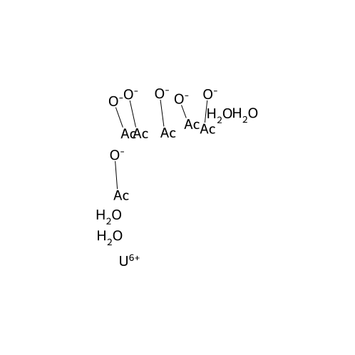 CC(=O)[O-].CC(=O)[O-].CC(=O)[O-].CC(=O)[O-].CC(=O)[O-].CC(=O)[O-].O.O.O.O.[U+6]